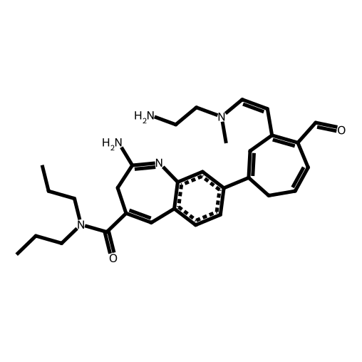 CCCN(CCC)C(=O)C1=Cc2ccc(C3=CC(/C=C\N(C)CCN)=C(C=O)C=CC3)cc2N=C(N)C1